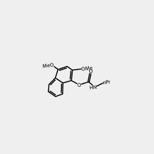 CCCNC(=O)Oc1c(OC)cc(OC)c2ccccc12